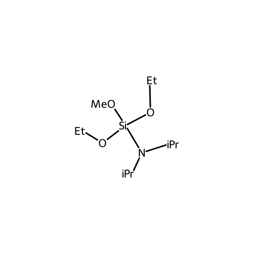 CCO[Si](OC)(OCC)N(C(C)C)C(C)C